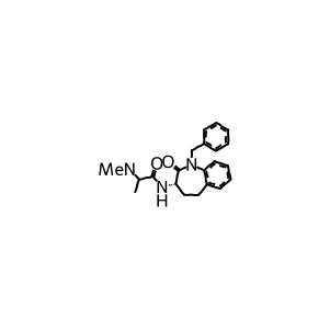 CNC(C)C(=O)N[C@H]1CCc2ccccc2N(Cc2ccccc2)C1=O